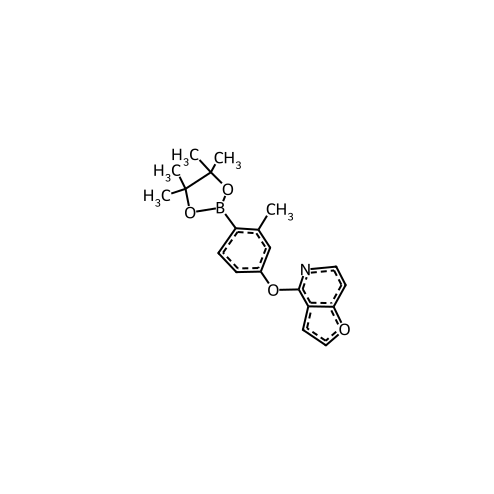 Cc1cc(Oc2nccc3occc23)ccc1B1OC(C)(C)C(C)(C)O1